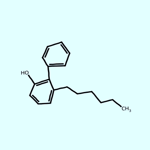 CCCCCCc1cccc(O)c1-c1ccccc1